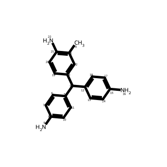 Cc1cc(C(c2ccc(N)cc2)c2ccc(N)cc2)ccc1N